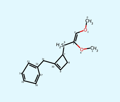 COC=C(OC)[SiH2]C1CC=C1Cc1ccccc1